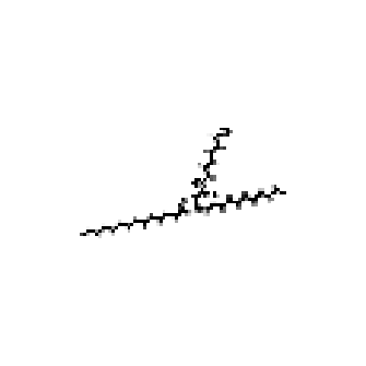 CCCCCCCCCCCCCC(=O)O[C@H](CCCCCCCCCCC)CC(=O)NCCCCCCO